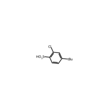 CC(C)(C)c1ccc(S(=O)(=O)O)c(Cl)c1